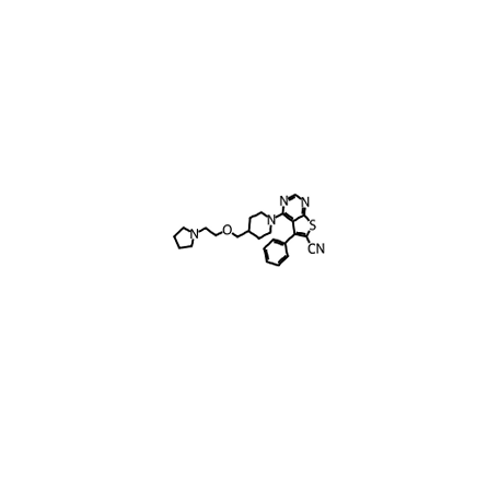 N#Cc1sc2ncnc(N3CCC(COCCN4CCCC4)CC3)c2c1-c1ccccc1